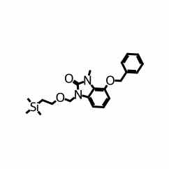 Cn1c(=O)n(COCC[Si](C)(C)C)c2cccc(OCc3ccccc3)c21